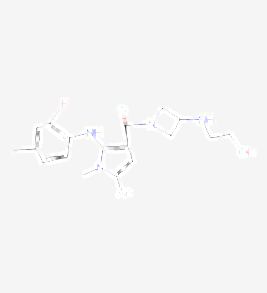 CC(=O)c1cc(C(=O)N2CC(NCCO)C2)c(Nc2ccc(I)cc2F)n1C